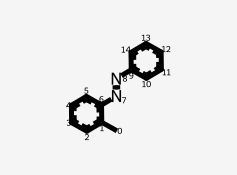 Cc1ccccc1/N=N/c1ccccc1